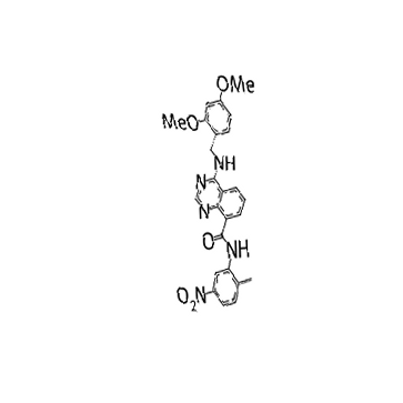 COc1ccc(CNc2ncnc3c(C(=O)Nc4cc([N+](=O)[O-])ccc4C)cccc23)c(OC)c1